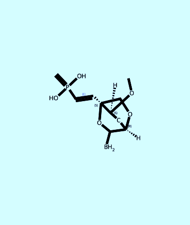 BC1O[C@@]2(/C=C/P(=C)(O)O)CO[C@@H]1C[C@@H]2OC